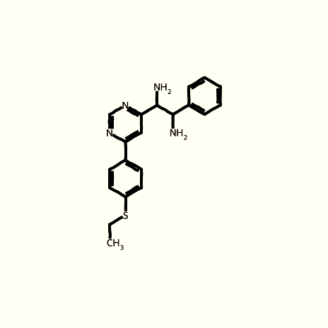 CCSc1ccc(-c2cc(C(N)C(N)c3ccccc3)ncn2)cc1